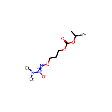 CCN(CC)/[N+]([O-])=N/OCCCOC(=O)OC(C)C(C)C